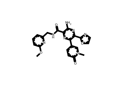 COc1cccc(CNC(=O)c2nc(-c3ccc(=O)n(C)c3)c(-c3ncco3)nc2N)n1